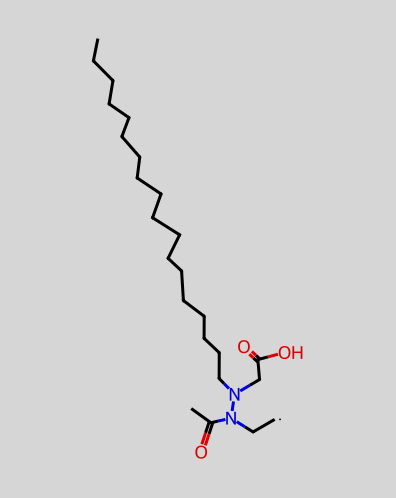 [CH2]CN(C(C)=O)N(CCCCCCCCCCCCCCCCCC)CC(=O)O